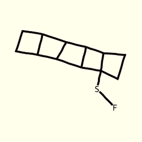 FSC12CCC1C1C3C4CCC4C3C12